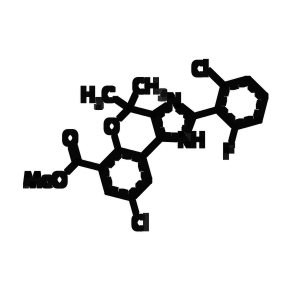 COC(=O)c1cc(Cl)cc2c1OC(C)(C)c1nc(-c3c(F)cccc3Cl)[nH]c1-2